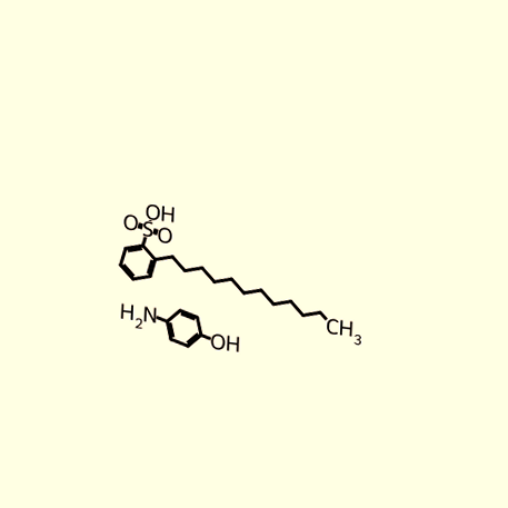 CCCCCCCCCCCCc1ccccc1S(=O)(=O)O.Nc1ccc(O)cc1